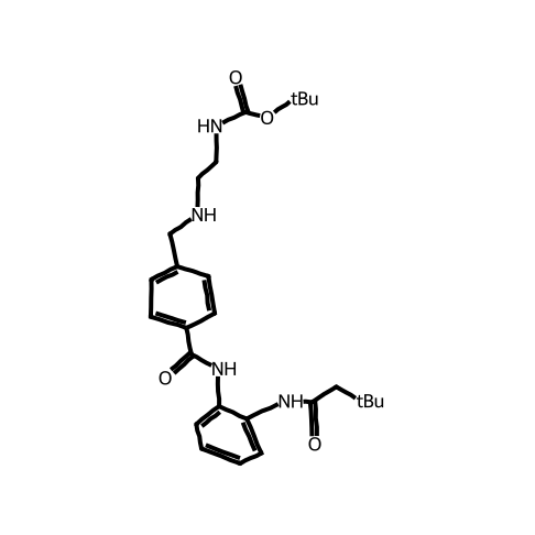 CC(C)(C)CC(=O)Nc1ccccc1NC(=O)c1ccc(CNCCNC(=O)OC(C)(C)C)cc1